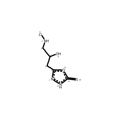 OC(CNCl)Cc1n[nH]c(=S)o1